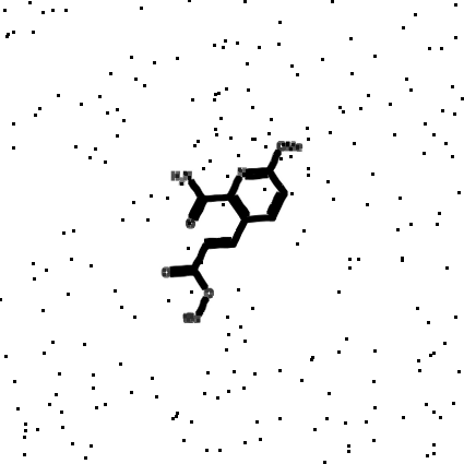 COc1ccc(C=CC(=O)OC(C)(C)C)c(C(N)=O)n1